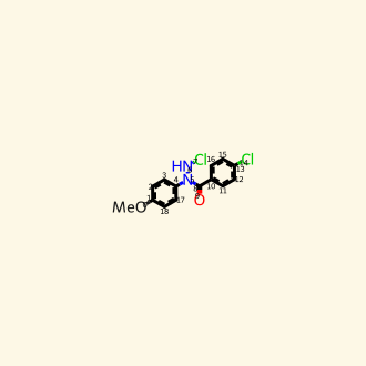 COc1ccc(N(NCl)C(=O)c2ccc(Cl)cc2)cc1